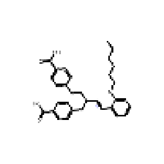 CCCCCCOc1ccccc1/C=C/C(CCc1ccc(C(=O)O)cc1)Cc1ccc(C(=O)O)cc1